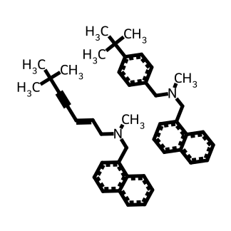 CN(C/C=C/C#CC(C)(C)C)Cc1cccc2ccccc12.CN(Cc1ccc(C(C)(C)C)cc1)Cc1cccc2ccccc12